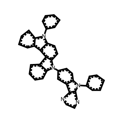 c1ccc(-n2c3ccccc3c3c4c5ccccc5n(-c5ccc6c(c5)c5nccnc5n6-c5ccccc5)c4ccc32)cc1